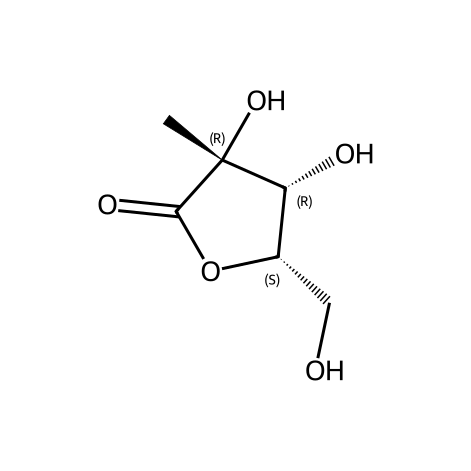 C[C@]1(O)C(=O)O[C@@H](CO)[C@H]1O